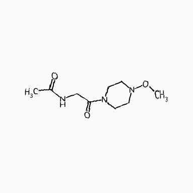 CON1CCN(C(=O)CNC(C)=O)CC1